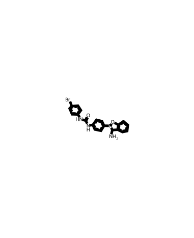 NC1c2ccccc2ON1c1ccc(NC(=O)Nc2ccc(Br)cc2)cc1